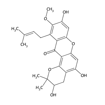 COc1c(O)cc2oc3cc(O)c4c(c3c(=O)c2c1CC=C(C)C)OC(C)(C)C(O)C4